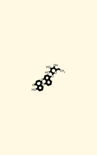 CCC1OC(Oc2ccc3c4c(cccc24)OC2(C=CC(=O)c4c(O)cccc42)O3)C(O)C(O)C1O